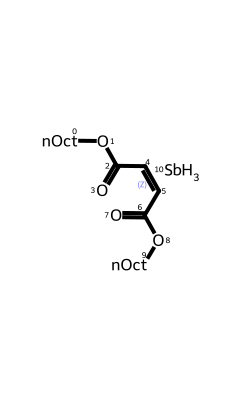 CCCCCCCCOC(=O)/C=C\C(=O)OCCCCCCCC.[SbH3]